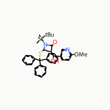 COc1ccc(C(O)C2C(=O)N([Si](C)(C)C(C)(C)C)C2SC(c2ccccc2)(c2ccccc2)c2ccccc2)cn1